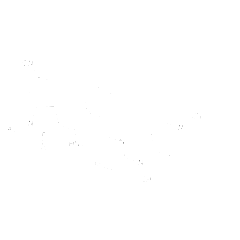 CC(=O)N1C(=O)/C(=C(\Nc2ccc(N(C)C3CCN(C)CC3)nc2)c2ccccc2)c2ccc(N=O)cc21